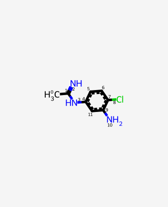 CC(=N)Nc1ccc(Cl)c(N)c1